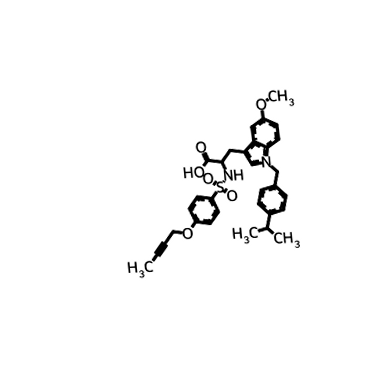 CC#CCOc1ccc(S(=O)(=O)NC(Cc2cn(Cc3ccc(C(C)C)cc3)c3ccc(OC)cc23)C(=O)O)cc1